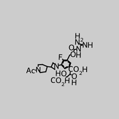 CC(=O)N1CCC(C2CN(c3cccc(COC(=O)NC(=N)N)c3F)C2)CC1.O=C(O)C(O)C(O)C(=O)O